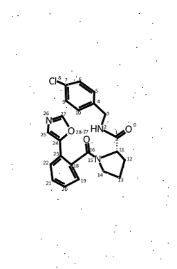 O=C(NCc1ccc(Cl)cc1)[C@@H]1CCCN1C(=O)c1ccccc1-c1cnco1